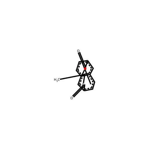 CC1COC(=O)c2ccc3cc(ccc3c2)C(=O)O1